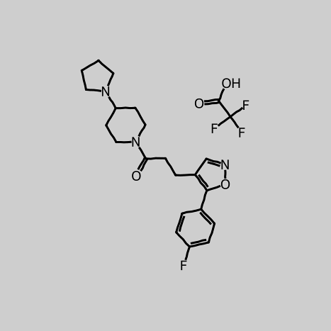 O=C(CCc1cnoc1-c1ccc(F)cc1)N1CCC(N2CCCC2)CC1.O=C(O)C(F)(F)F